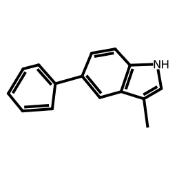 Cc1c[nH]c2ccc(-c3ccccc3)cc12